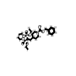 CCOP(=O)(OCC)C(CC1CCN(C(=O)OCc2ccccc2)CC1)P(=O)(OCC)OCC